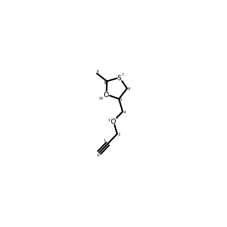 C#CCOCC1CS[C](C)O1